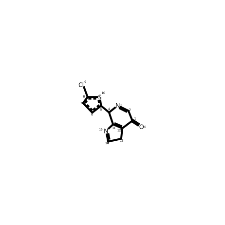 O=C1C=NC(c2ccc(Cl)s2)C2=C1CC=N2